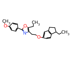 CCc1oc(-c2ccc(OC)cc2)nc1CCOc1ccc2c(c1)CCC2CC